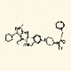 CCN(C(=O)OCc1ccccc1)C1CCN(c2ccc(-c3nc4c(c(C5CCCCC5)nn4C)c(=O)[nH]3)c(OC)c2)CC1